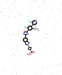 Cc1cc(-c2nc(-c3ccc4c(c3)CN([C@H]3C[C@H](C(=O)O)C3)C4)no2)c(F)cc1-c1ccncc1F